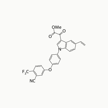 C=Cc1ccc2c(c1)c(C(=O)C(=O)OC)cn2-c1ccc(Oc2ccc(C(F)(F)F)c(C#N)c2)cc1